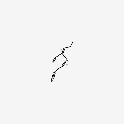 C=CC(=C/CC)/N=C\CC#N